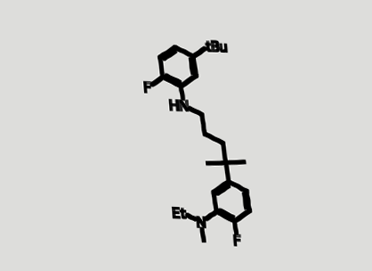 CCN(C)c1cc(C(C)(C)CCCNc2cc(C(C)(C)C)ccc2F)ccc1F